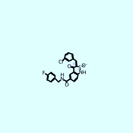 O=C(NCc1ccc(F)cc1)c1ccc2c(c1)C(=O)/C(=C\c1cccc(Cl)c1)[S+]([O-])N2